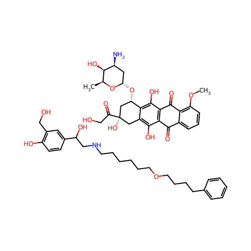 COc1cccc2c1C(=O)c1c(O)c3c(c(O)c1C2=O)C[C@@](O)(C(=O)CO)C[C@@H]3O[C@H]1C[C@H](N)[C@H](O)[C@H](C)O1.OCc1cc(C(O)CNCCCCCCOCCCCc2ccccc2)ccc1O